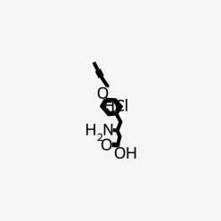 CC#CCOc1ccc(CC(N)CC(=O)O)cc1.Cl